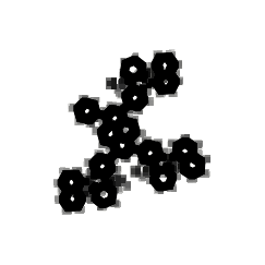 CC12CCCCC1(C)N(c1cccc3ccccc13)c1ccc(-c3cc(-c4ccccc4)c4ccc5c(-c6ccc7c(c6)C6(C)CCCCC6(C)N7c6cccc7ccccc67)cc(-c6ccc7c(c6)C6(C)CCCCC6(C)N7c6cccc7ccccc67)c6ccc3c4c56)cc12